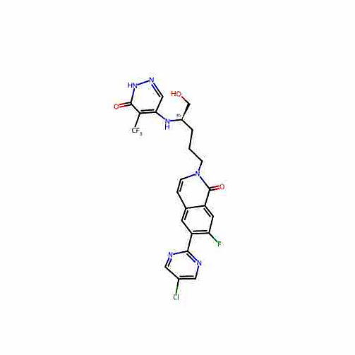 O=c1[nH]ncc(N[C@@H](CO)CCCn2ccc3cc(-c4ncc(Cl)cn4)c(F)cc3c2=O)c1C(F)(F)F